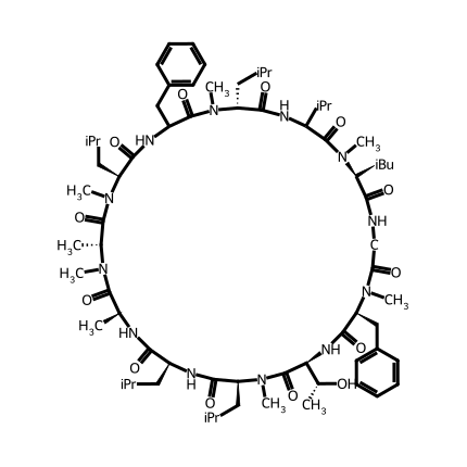 CC[C@H](C)[C@H]1C(=O)NCC(=O)N(C)[C@@H](Cc2ccccc2)C(=O)N[C@@H]([C@@H](C)O)C(=O)N(C)[C@@H](CC(C)C)C(=O)N[C@@H](CC(C)C)C(=O)N[C@@H](C)C(=O)N(C)[C@H](C)C(=O)N(C)[C@@H](CC(C)C)C(=O)NC(Cc2ccccc2)C(=O)N(C)[C@H](CC(C)C)C(=O)NC(C(C)C)C(=O)N1C